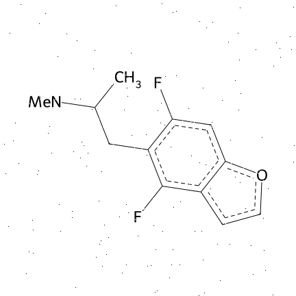 CNC(C)Cc1c(F)cc2occc2c1F